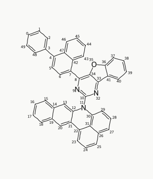 c1ccc(-c2ccc(-c3nc(N4c5cc6ccccc6cc5-c5cccc6cccc4c56)nc4c3oc3ccccc34)c3ccccc23)cc1